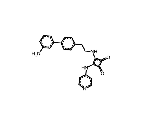 Nc1cccc(-c2ccc(CCNc3c(Nc4ccncc4)c(=O)c3=O)cc2)c1